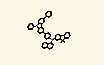 CC1(C)c2ccccc2-c2ccc(N(c3ccc(-c4ccc5c(c4)c4cc(-c6ccccc6)ccc4n5-c4ccccc4)cc3)c3cccc4ccccc34)cc21